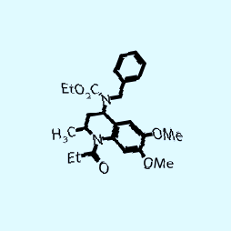 CCOC(=O)N(Cc1ccccc1)C1CC(C)N(C(=O)CC)c2cc(OC)c(OC)cc21